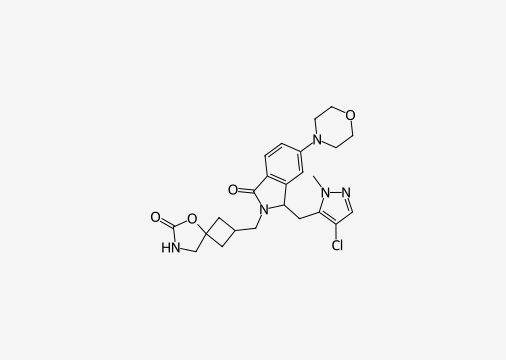 Cn1ncc(Cl)c1CC1c2cc(N3CCOCC3)ccc2C(=O)N1CC1CC2(CNC(=O)O2)C1